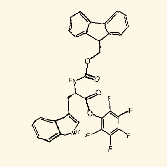 O=C(N[C@H](Cc1c[nH]c2ccccc12)C(=O)Oc1c(F)c(F)c(F)c(F)c1F)OCC1c2ccccc2-c2ccccc21